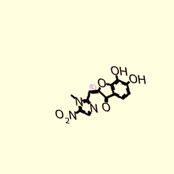 Cn1c([N+](=O)[O-])cnc1/C=C1/Oc2c(ccc(O)c2O)C1=O